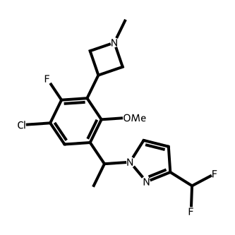 COc1c(C(C)n2ccc(C(F)F)n2)cc(Cl)c(F)c1C1CN(C)C1